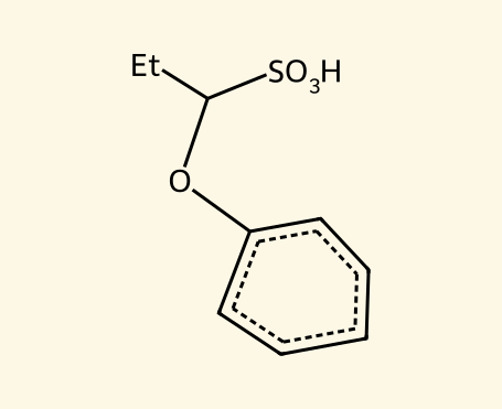 CCC(Oc1ccccc1)S(=O)(=O)O